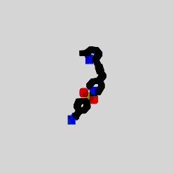 Cc1cccc(C#CC=C2CCN(S(=O)(=O)c3ccc(C#N)cc3)CC2)n1